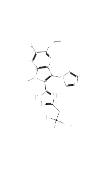 COc1nc2c(-n3ccnc3)c(-c3nc(CC(F)(F)F)n[nH]3)n(C)c2cc1Cl